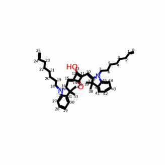 C=CCCCCCCN1/C(=C/C2=C(O)C(=C/C3=[N+](CCCCCCC=C)c4ccccc4C3(C)C)/C2=O)C(C)(C)c2ccccc21